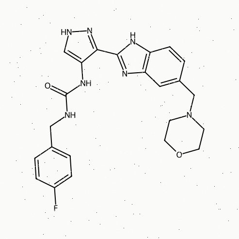 O=C(NCc1ccc(F)cc1)Nc1c[nH]nc1-c1nc2cc(CN3CCOCC3)ccc2[nH]1